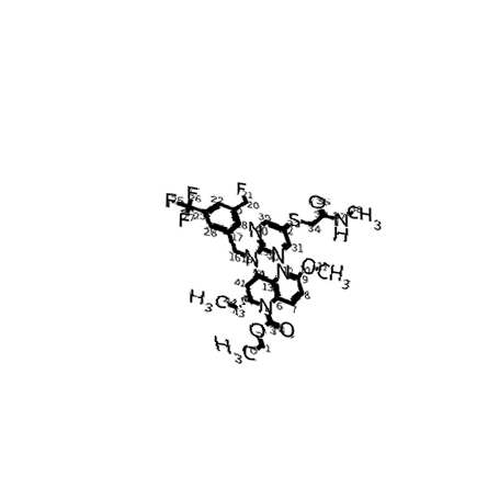 CCOC(=O)N1c2ccc(OC)nc2[C@@H](N(Cc2cc(CF)cc(C(F)(F)F)c2)c2ncc(SCC(=O)NC)cn2)C[C@H]1CC